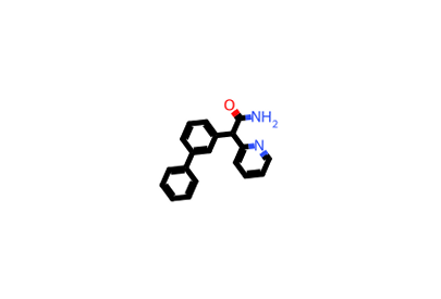 NC(=O)C(c1cccc(-c2ccccc2)c1)c1ccccn1